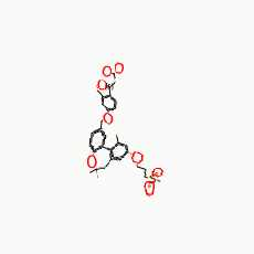 COC(=O)C[C@@H]1OCc2cc(OCc3ccc4c(c3)-c3c(C)cc(OCCCS(C)(=O)=O)cc3CC(C)(C)O4)ccc21